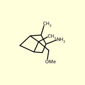 COCC1(C)C2CC(N)C(C)C1C2